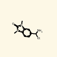 CCC(N)c1ccc2c(c1)n(C)c(=O)n2C